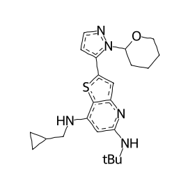 CC(C)(C)Nc1cc(NCC2CC2)c2sc(-c3ccnn3C3CCCCO3)cc2n1